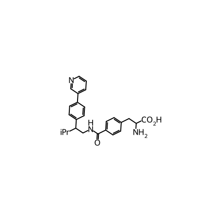 CC(C)C(CNC(=O)c1ccc(CC(N)C(=O)O)cc1)c1ccc(-c2cccnc2)cc1